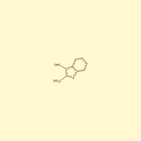 CCOC(=O)c1sc2ccccc2c1C=O